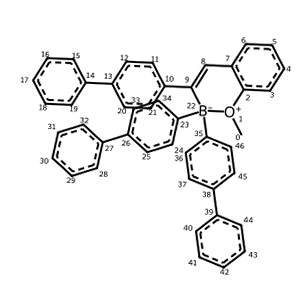 C[O+]1c2ccccc2C=C(c2ccc(-c3ccccc3)cc2)[B-]1(c1ccc(-c2ccccc2)cc1)c1ccc(-c2ccccc2)cc1